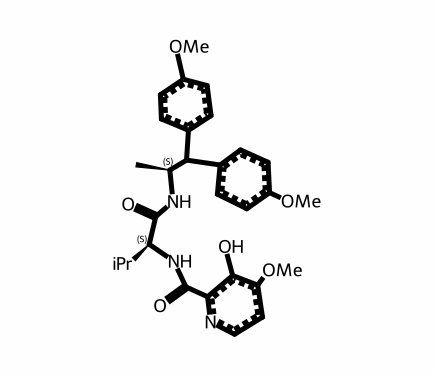 COc1ccc(C(c2ccc(OC)cc2)[C@H](C)NC(=O)[C@@H](NC(=O)c2nccc(OC)c2O)C(C)C)cc1